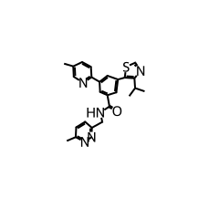 Cc1ccc(-c2cc(C(=O)NCc3ccc(C)nn3)cc(-c3scnc3C(C)C)c2)nc1